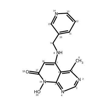 Cc1ncnc2c1c(NCc1cccnc1)cc(=O)n2O